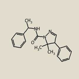 CC(NC(=O)N1N=CC(c2ccccc2)C1(C)C)c1ccccc1